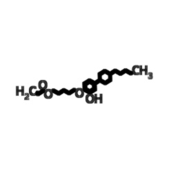 C=CC(=O)OCCCCCOc1ccc(C2CCC(CCCCC)CC2)cc1O